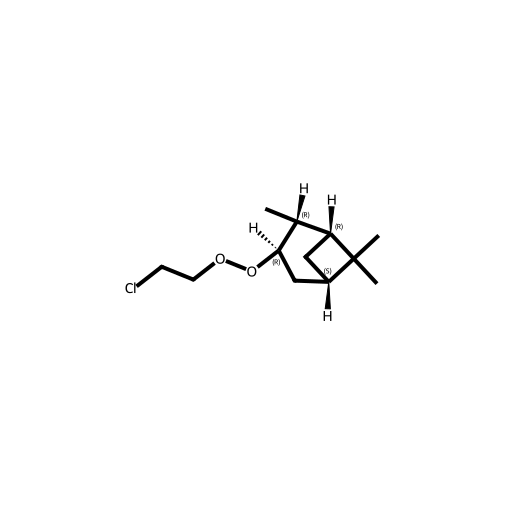 C[C@@H]1[C@H]2C[C@@H](C[C@H]1OOCCCl)C2(C)C